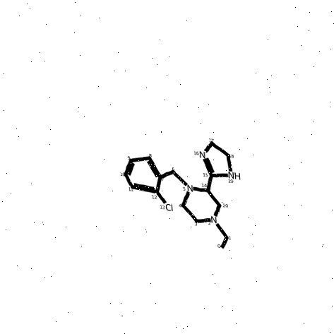 CCN1CCN(Cc2ccccc2Cl)C(C2=NCCN2)C1